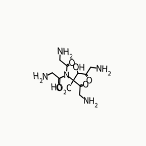 NCC(=O)C(O)C(C(=O)O)(C(=O)CN)N(C(=O)CN)C(=O)CN